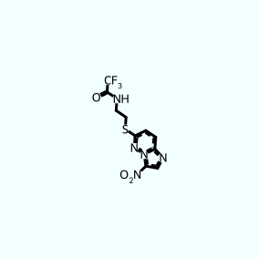 O=C(NCCSc1ccc2ncc([N+](=O)[O-])n2n1)C(F)(F)F